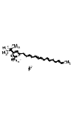 CCCCCCCCCCCCCCCCCC(OP(=O)([O-])[O-])C(C)(C)C.[K+].[K+]